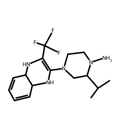 CC(C)C1CN(C2=C(C(F)(F)F)NC3C=CC=CC3N2)CCN1N